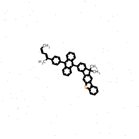 C/C=C\C=C(/C)c1ccc(-c2c3ccccc3c(-c3ccc4c(c3)-c3cc5sc6ccccc6c5cc3C4(C)C)c3ccccc23)cc1